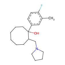 Cc1cc(C2(O)CCCCCCC2CN2CCCC2)ccc1F